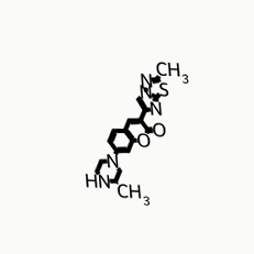 Cc1nn2cc(-c3cc4ccc(N5CCN[C@@H](C)C5)cc4oc3=O)nc2s1